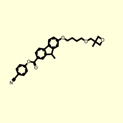 CC1c2cc(OCCCCOCC3(C)COC3)ccc2-c2ccc(C(=O)Oc3ccc(C#N)cc3)cc21